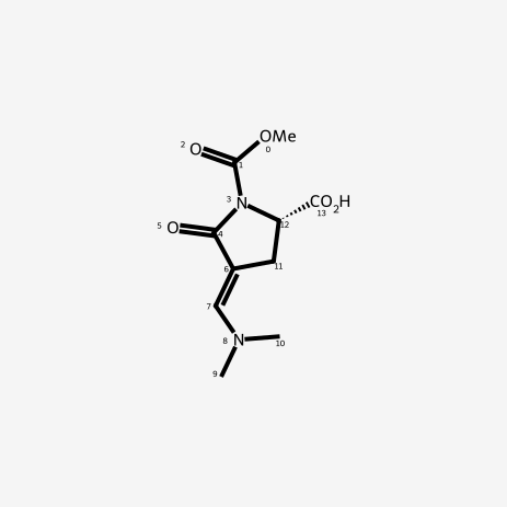 COC(=O)N1C(=O)/C(=C/N(C)C)C[C@H]1C(=O)O